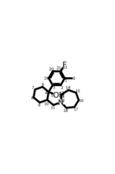 Cc1cc(C2(O)CCCCC2CN2CCCCCC2)ccc1F